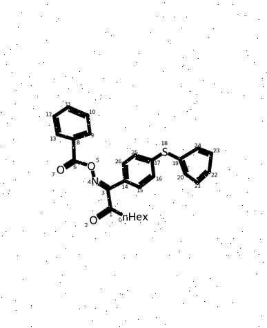 CCCCCCC(=O)C(=NOC(=O)c1ccccc1)c1ccc(Sc2ccccc2)cc1